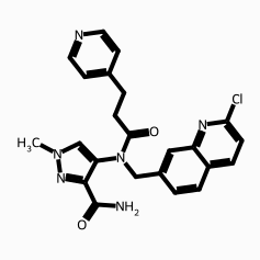 Cn1cc(N(Cc2ccc3ccc(Cl)nc3c2)C(=O)CCc2ccncc2)c(C(N)=O)n1